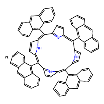 C1=Cc2nc1c(-c1c3ccccc3cc3ccccc13)c1ccc([nH]1)c(-c1c3ccccc3cc3ccccc13)c1nc(c(-c3c4ccccc4cc4ccccc34)c3ccc([nH]3)c2-c2c3ccccc3cc3ccccc23)C=C1.[Pt]